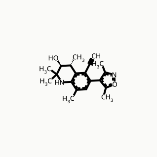 C#Cc1c(-c2c(C)noc2C)cc(C)c2c1[C@@H](C)[C@H](O)C(C)(C)N2